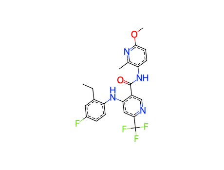 CCc1cc(F)ccc1Nc1cc(C(F)(F)F)ncc1C(=O)Nc1ccc(OC)nc1C